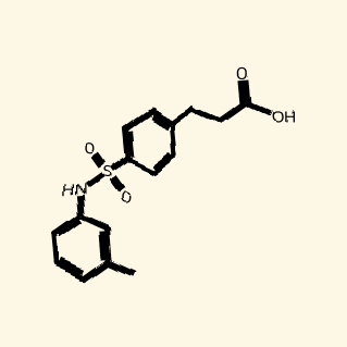 Cc1cccc(NS(=O)(=O)c2ccc(CCC(=O)O)cc2)c1